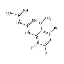 COc1c(Br)cc(F)c(F)c1NC(=N)NC(=N)N